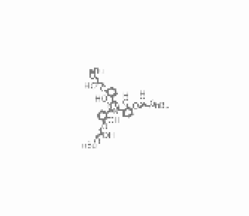 CCCCOCC(O)COc1cccc(-c2nc(-c3cccc(OCC(O)COCCCC)c3O)nc(-c3cccc(OCC(O)COCCCC)c3O)n2)c1O